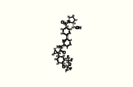 O=C(Nc1cccc(-c2ccc([S+]([O-])N3CCC[C@@H]3CO)cc2)n1)C1(c2ccc3c(c2)C(F)(F)OC(F)(F)O3)CC1